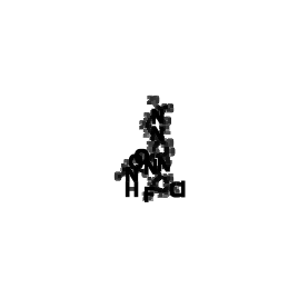 CC(C)NC(=O)Cn1c(-c2cc(F)cc(Cl)c2)nc2ccc(N3CCCN(C(C)C)CC3)cc2c1=O